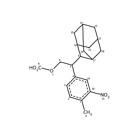 Cc1ccc(C(COC(=O)O)C2C3CC4CC(C3)CC2C4)cc1[N+](=O)[O-]